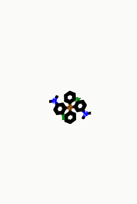 CN(C)c1ccc(Br)c(S(c2ccccc2)(c2ccccc2)c2cc(N(C)C)ccc2Br)c1